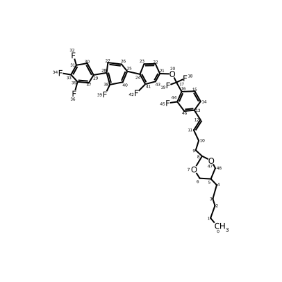 CCCCCC1COC(CC/C=C/c2ccc(C(F)(F)Oc3ccc(-c4ccc(-c5cc(F)c(F)c(F)c5)c(F)c4)c(F)c3)c(F)c2)OC1